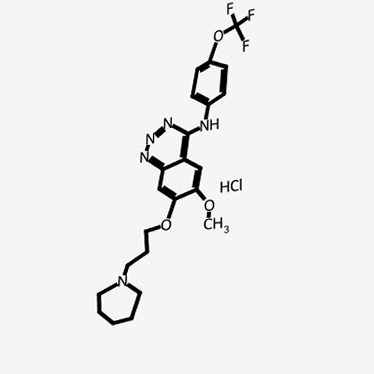 COc1cc2c(Nc3ccc(OC(F)(F)F)cc3)nnnc2cc1OCCCN1CCCCC1.Cl